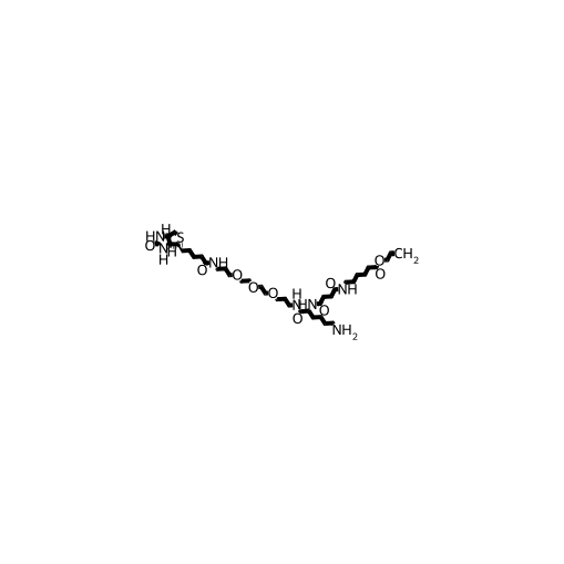 C=CCOC(=O)CCCCCNC(=O)CCC(=O)NC(CCCCN)C(=O)NCCCOCCOCCOCCCNC(=O)CCCC[C@@H]1SC[C@@H]2NC(=O)N[C@@H]21